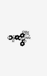 COc1cc(-c2ccc(NC3(C(=O)O)CCOCC3)cc2COC2COc3ccccc32)cc(OC)c1C